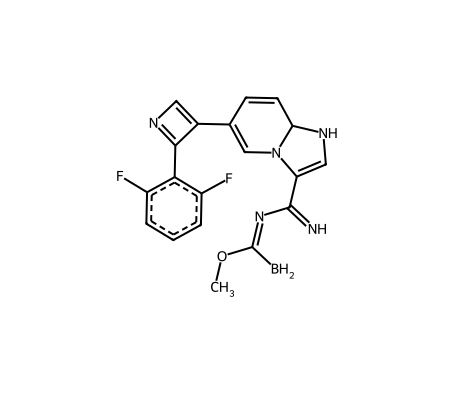 B/C(=N\C(=N)C1=CNC2C=CC(C3=CN=C3c3c(F)cccc3F)=CN12)OC